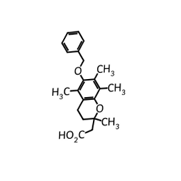 Cc1c(C)c2c(c(C)c1OCc1ccccc1)CCC(C)(CC(=O)O)O2